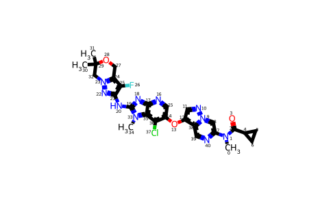 CN(C(=O)C1CC1)c1cn2ncc(Oc3cnc4nc(Nc5nn6c(c5F)COC(C)(C)C6)n(C)c4c3Cl)c2cn1